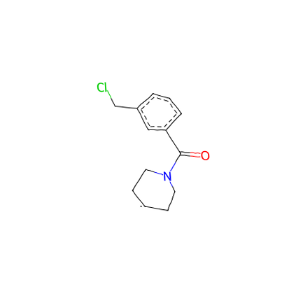 O=C(c1cccc(CCl)c1)N1CC[CH]CC1